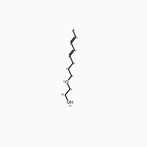 C/C=C/C=C/CCCOCCO